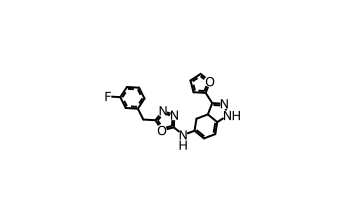 Fc1cccc(Cc2nnc(NC3=CC=C4NN=C(c5ccco5)C4C3)o2)c1